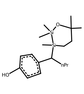 CCCC(c1ccc(O)cc1)[Si]1(C)CCC(C)(C)O[Si]1(C)C